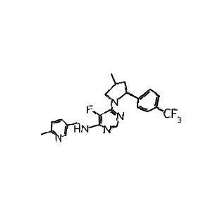 Cc1ccc(CNc2ncnc(N3CC(C)CC3c3ccc(C(F)(F)F)cc3)c2F)cn1